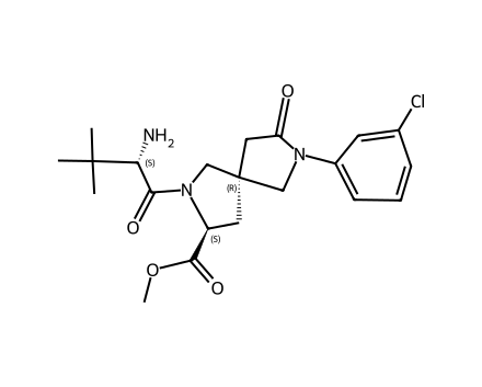 COC(=O)[C@@H]1C[C@@]2(CC(=O)N(c3cccc(Cl)c3)C2)CN1C(=O)[C@@H](N)C(C)(C)C